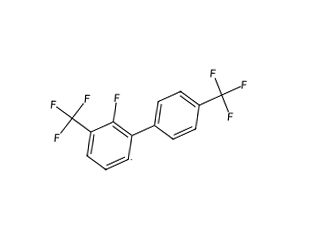 Fc1c(-c2ccc(C(F)(F)F)cc2)[c]ccc1C(F)(F)F